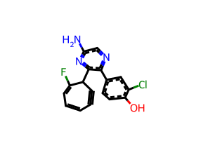 Nc1cnc(-c2ccc(O)c(Cl)c2)c(C2C#CC=CC=C2F)n1